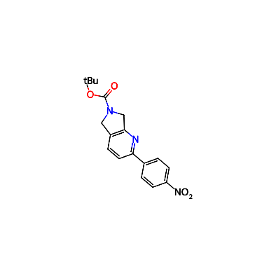 CC(C)(C)OC(=O)N1Cc2ccc(-c3ccc([N+](=O)[O-])cc3)nc2C1